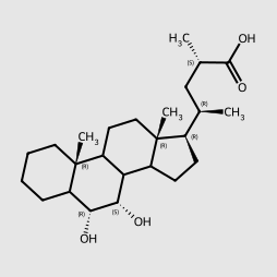 C[C@H](C[C@H](C)C(=O)O)[C@H]1CCC2C3C(CC[C@@]21C)[C@@]1(C)CCCCC1[C@@H](O)[C@H]3O